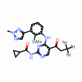 [2H]C([2H])([2H])CC(=O)c1cnc(NC(=O)C2CC2)nc1Nc1cccc(-c2cnn(C)n2)c1OC